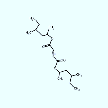 CCC(C)CC(C)OC(=O)/C=C/C(=O)OC(C)CC(C)CC